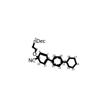 CCCCCCCCCCCCOC1(C#N)C=CC(c2ccc(C3CCCCC3)cc2)=CC1